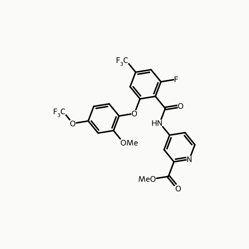 COC(=O)c1cc(NC(=O)c2c(F)cc(C(F)(F)F)cc2Oc2ccc(OC(F)(F)F)cc2OC)ccn1